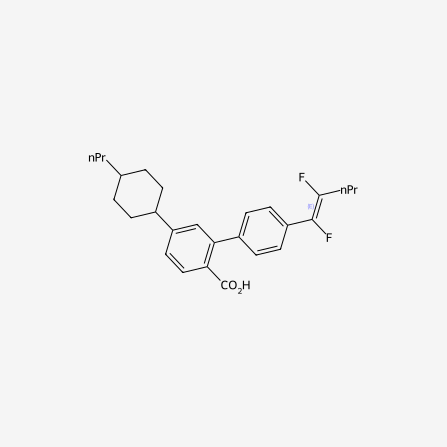 CCC/C(F)=C(\F)c1ccc(-c2cc(C3CCC(CCC)CC3)ccc2C(=O)O)cc1